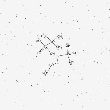 CC(C)(C)P(=O)(O)O.CCCCP(=O)(O)O